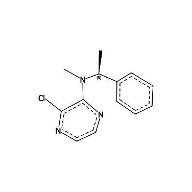 C[C@@H](c1ccccc1)N(C)c1nccnc1Cl